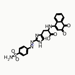 NS(=O)(=O)c1ccc(/N=N/c2nc(CC(NC3=CC(=O)C(=O)c4ccccc43)C(=O)O)c[nH]2)cc1